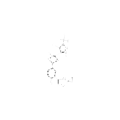 Cn1nc(-c2ccc(Cl)c(C(=O)NC3(C#N)CC3)c2)cc1-c1c(C(F)(F)F)c(C(F)(F)C(F)(F)F)nn1C